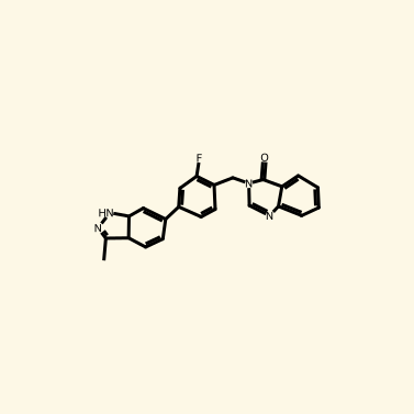 CC1=NNC2C=C(c3ccc(Cn4cnc5ccccc5c4=O)c(F)c3)C=CC12